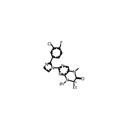 CC[C@@H]1C(=O)N(C)c2cnc(-n3ccnc3-c3ccc(F)c(Cl)c3)nc2N1C(C)C